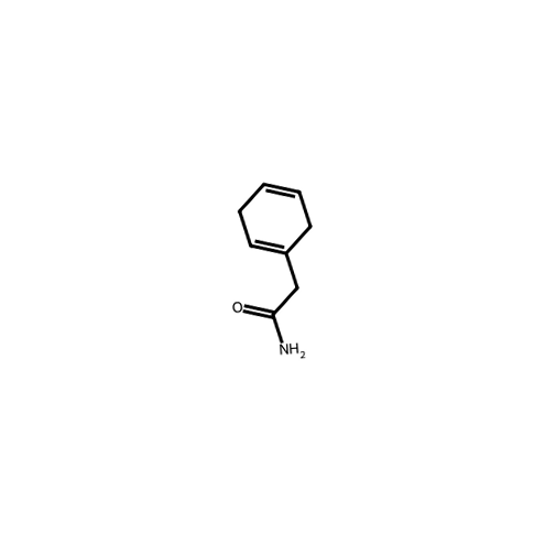 NC(=O)CC1=CCC=CC1